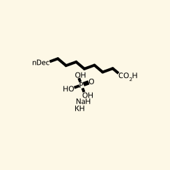 CCCCCCCCCCCCCCCCCC(=O)O.O=P(O)(O)O.[KH].[NaH]